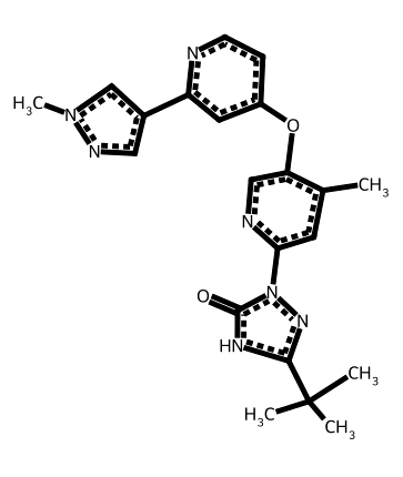 Cc1cc(-n2nc(C(C)(C)C)[nH]c2=O)ncc1Oc1ccnc(-c2cnn(C)c2)c1